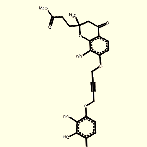 CCCc1c(OCC#CCOc2ccc3c(c2CCC)OC(C)(CCC(=O)OC)CC3=O)ccc(C(C)=O)c1O